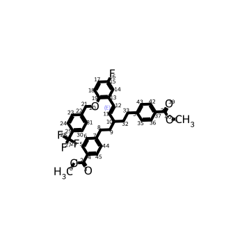 COC(=O)c1ccc(CCC(/C=C/c2cc(F)ccc2OCc2ccc(C(F)(F)F)cc2)CCc2ccc(C(=O)OC)cc2)cc1